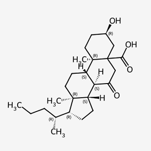 CCC[C@@H](C)[C@H]1CC[C@H]2[C@@H]3C(=O)CC4(C(=O)O)C[C@H](O)CC[C@]4(C)[C@H]3CC[C@]12C